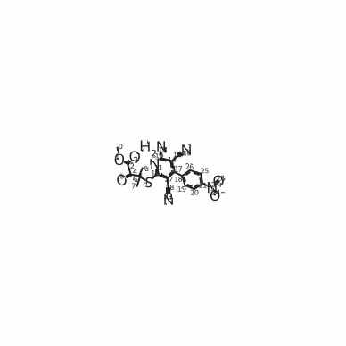 COC(=O)C(=O)C(C)(C)Sc1nc(N)c(C#N)c(-c2ccc([N+](=O)[O-])cc2)c1C#N